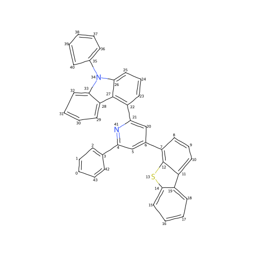 c1ccc(-c2cc(-c3cccc4c3sc3ccccc34)cc(-c3cccc4c3c3ccccc3n4-c3ccccc3)n2)cc1